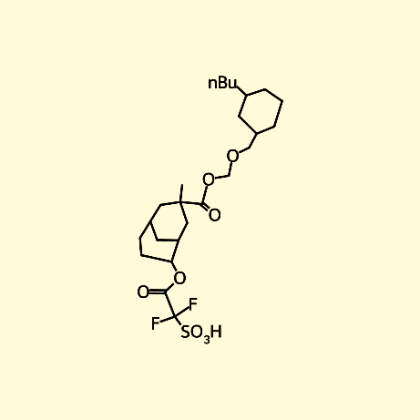 CCCCC1CCCC(COCOC(=O)C2(C)CC3CCC(OC(=O)C(F)(F)S(=O)(=O)O)C(C3)C2)C1